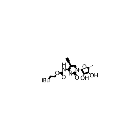 C#Cc1cn([C@@H]2O[C@H](C)[C@@H](O)[C@H]2O)c(=O)nc1NC(=O)OCCC(C)CC